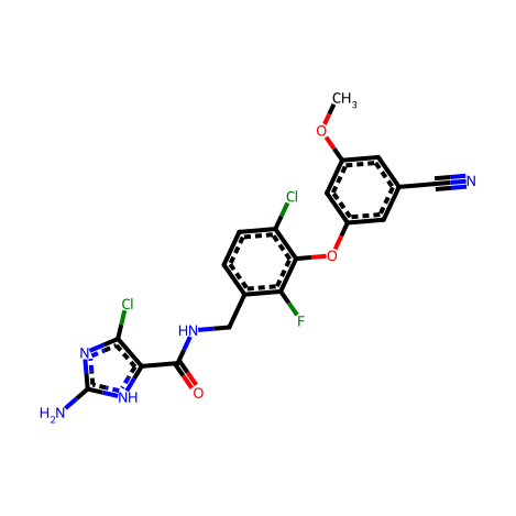 COc1cc(C#N)cc(Oc2c(Cl)ccc(CNC(=O)c3[nH]c(N)nc3Cl)c2F)c1